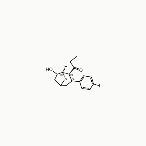 CCC(=O)[C@H]1[C@@H](c2ccc(I)cc2)CC2CC(O)[C@H]1S2